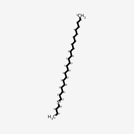 CCCCCCCCCCCCCCCCCCCCCCCCSCCCC